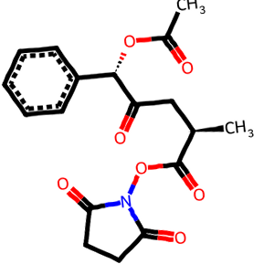 CC(=O)O[C@H](C(=O)C[C@@H](C)C(=O)ON1C(=O)CCC1=O)c1ccccc1